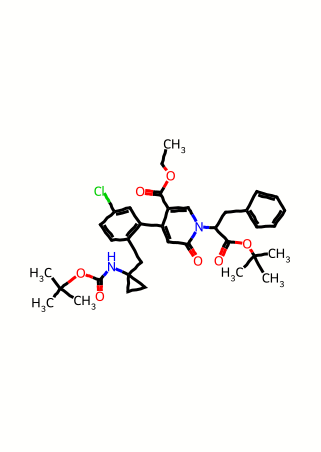 CCOC(=O)c1cn(C(Cc2ccccc2)C(=O)OC(C)(C)C)c(=O)cc1-c1cc(Cl)ccc1CC1(NC(=O)OC(C)(C)C)CC1